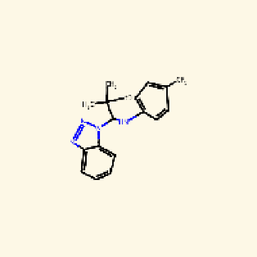 CC(C)(C)C(C)(C)C(Nc1ccc(C(F)(F)F)cc1)n1nnc2ccccc21